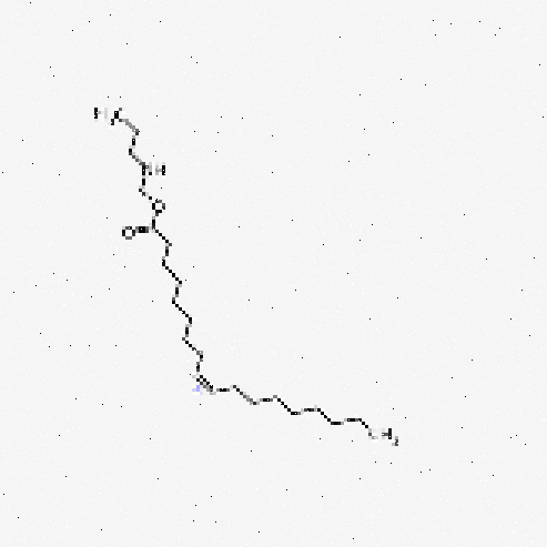 CCCCCCCC/C=C\CCCCCCCC(=O)OCNCCC